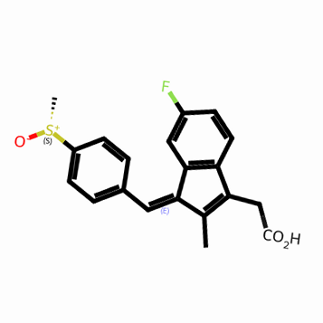 CC1=C(CC(=O)O)c2ccc(F)cc2/C1=C\c1ccc([S@@+](C)[O-])cc1